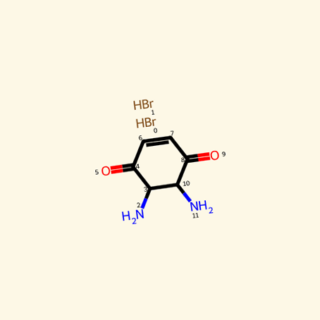 Br.Br.NC1C(=O)C=CC(=O)C1N